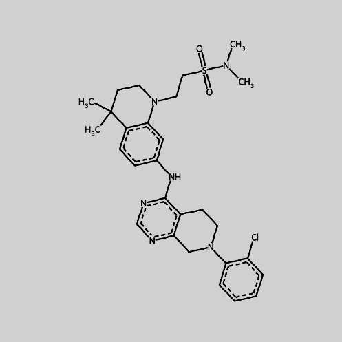 CN(C)S(=O)(=O)CCN1CCC(C)(C)c2ccc(Nc3ncnc4c3CCN(c3ccccc3Cl)C4)cc21